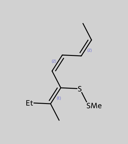 C\C=C/C=C\C(SSC)=C(\C)CC